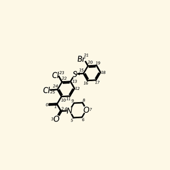 C=C(C(=O)N1CCOCC1)c1ccc(Sc2ccccc2Br)c(Cl)c1Cl